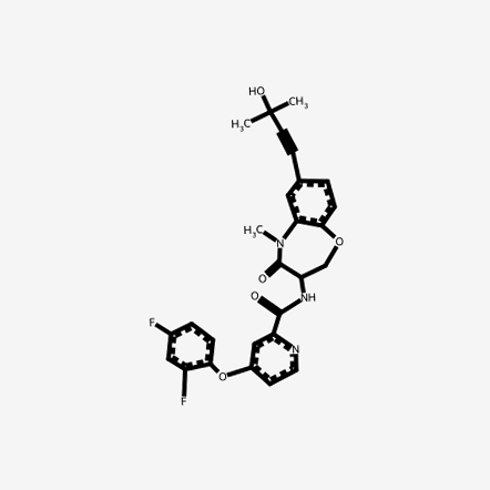 CN1C(=O)C(NC(=O)c2cc(Oc3ccc(F)cc3F)ccn2)COc2ccc(C#CC(C)(C)O)cc21